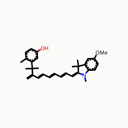 C=C(/C=C/C=C/C=C/C=C1/N(C)c2ccc(OC)cc2C1(C)C)C(C)(C)c1cc(O)ccc1C